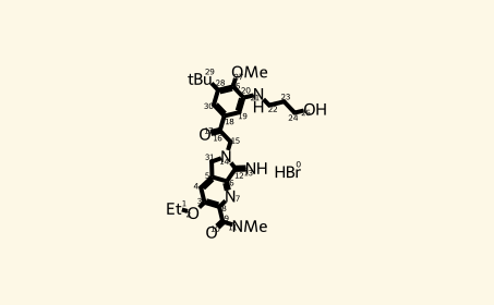 Br.CCOc1cc2c(nc1C(=O)NC)C(=N)N(CC(=O)c1cc(NCCCO)c(OC)c(C(C)(C)C)c1)C2